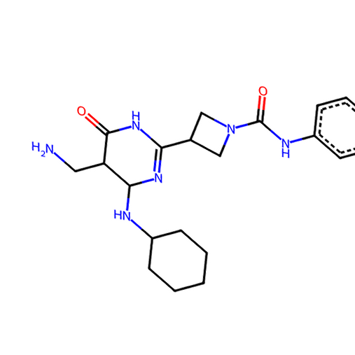 NCC1C(=O)NC(C2CN(C(=O)Nc3ccccc3)C2)=NC1NC1CCCCC1